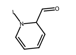 O=CC1C=CC=CN1I